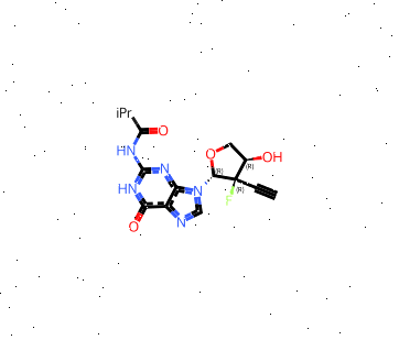 C#C[C@@]1(F)[C@H](O)CO[C@H]1n1cnc2c(=O)[nH]c(NC(=O)C(C)C)nc21